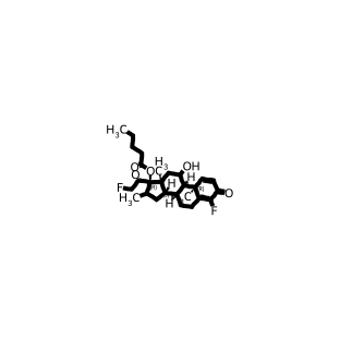 CCCCC(=O)O[C@]1(C(=O)CF)C(C)C[C@H]2[C@@H]3CCC4=C(F)C(=O)C=C[C@]4(C)[C@H]3C(O)C[C@@]21C